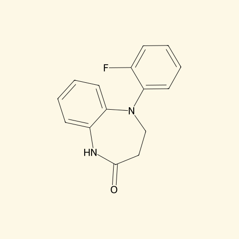 O=C1CCN(c2ccccc2F)c2ccccc2N1